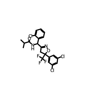 CC(C)C(=O)NC(C1=NOC(c2cc(Cl)cc(Cl)c2)(C(F)(F)F)C1)c1ccccc1Cl